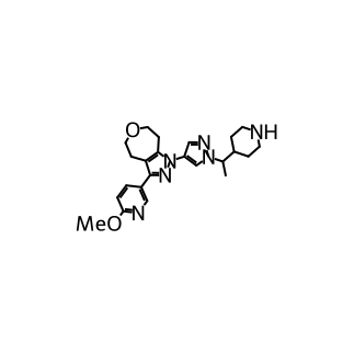 COc1ccc(-c2nn(-c3cnn(C(C)C4CCNCC4)c3)c3c2CCOCC3)cn1